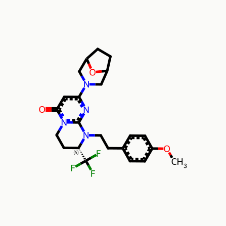 COc1ccc(CCN2c3nc(N4CC5CCC(C4)O5)cc(=O)n3CC[C@H]2C(F)(F)F)cc1